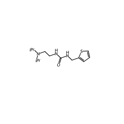 CC(C)N(CCNC(=O)NCc1cccs1)C(C)C